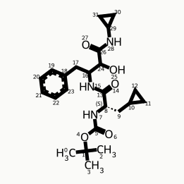 CC(C)(C)OC(=O)N[C@@H](CC1CC1)C(=O)NC(Cc1ccccc1)C(O)C(=O)NC1CC1